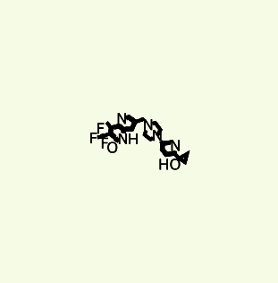 Cc1c(C(F)(F)F)c(=O)[nH]c2cc(CN3CCN(c4ccc(C5(O)CC5)nc4)CC3)cnc12